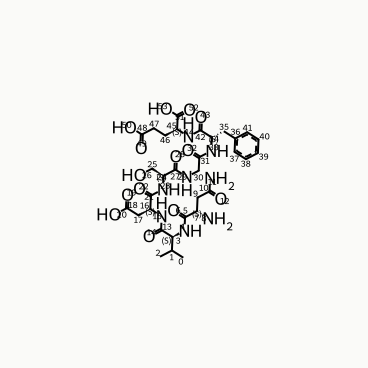 CC(C)[C@H](NC(=O)[C@@H](N)CC(N)=O)C(=O)N[C@@H](CC(=O)O)C(=O)N[C@@H](CO)C(=O)NCC(=O)N[C@@H](Cc1ccccc1)C(=O)N[C@@H](CCC(=O)O)C(=O)O